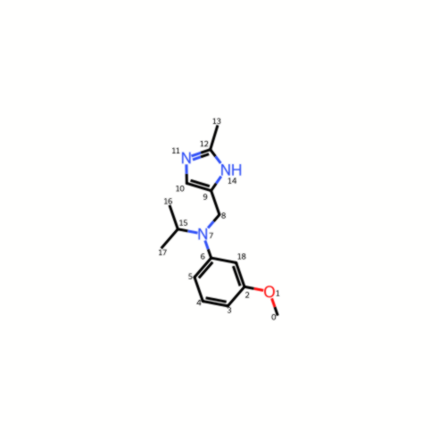 COc1cccc(N(Cc2cnc(C)[nH]2)C(C)C)c1